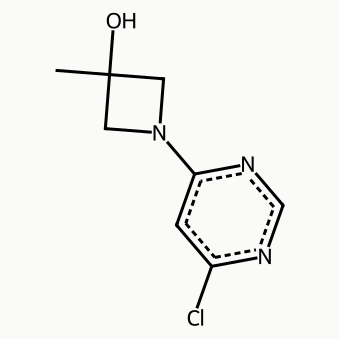 CC1(O)CN(c2cc(Cl)ncn2)C1